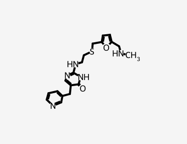 CNCc1ccc(CSCCNc2ncc(Cc3cccnc3)c(=O)[nH]2)o1